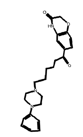 O=C1COc2ccc(C(=O)CCCCCN3CCN(c4ccccc4)CC3)cc2N1